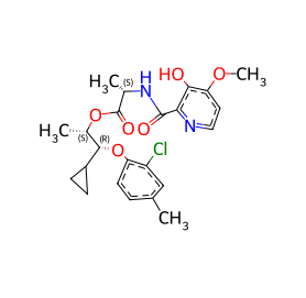 COc1ccnc(C(=O)N[C@@H](C)C(=O)O[C@@H](C)[C@H](Oc2ccc(C)cc2Cl)C2CC2)c1O